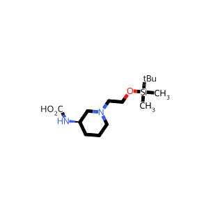 CC(C)(C)[Si](C)(C)OCCN1CCC[C@@H](NC(=O)O)C1